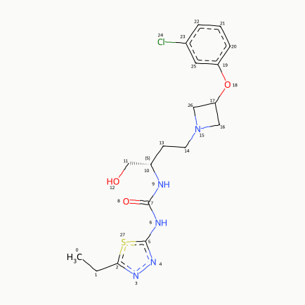 CCc1nnc(NC(=O)N[C@H](CO)CCN2CC(Oc3cccc(Cl)c3)C2)s1